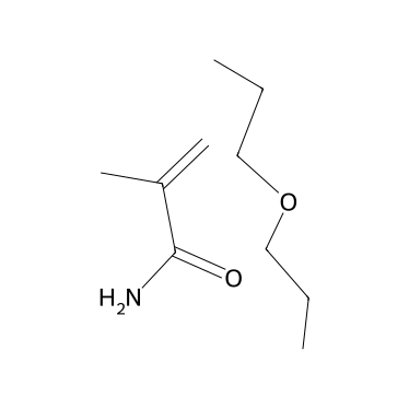 C=C(C)C(N)=O.CCCOCCC